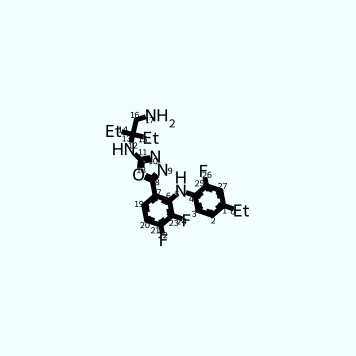 CCc1ccc(Nc2c(-c3nnc(NC(CC)(CC)CN)o3)ccc(F)c2F)c(F)c1